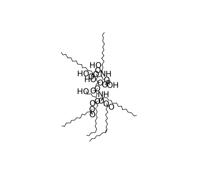 CCCCCC/C=C\CCCCCCCC(=O)O[C@H](CCCCCCCCCCC)CC(=O)N[C@H]1C(OC(=O)C[C@@H](CCCCCCCCCCC)OC(=O)CCCCCCCCCCC)CC(CO)O[C@H]1OCC1OC(OP(C)(=O)O)[C@@H](NC(=O)C[C@H](O)CCCCCCCCCCC)C(OC(=O)C[C@H](O)CCCCCCCCCCC)[C@@H]1O